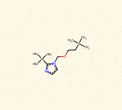 CCC[CH2][Sn]([CH2]CCC)([CH2]CCC)[c]1nccn1COCC[Si](C)(C)C